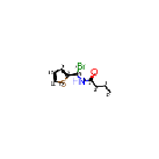 CCCC(=O)NC(Br)c1cccs1